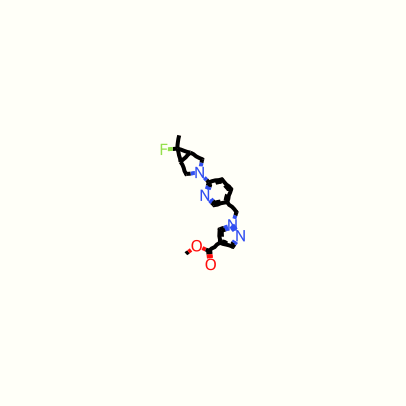 COC(=O)c1cnn(Cc2ccc(N3CC4C(C3)C4(C)F)nc2)c1